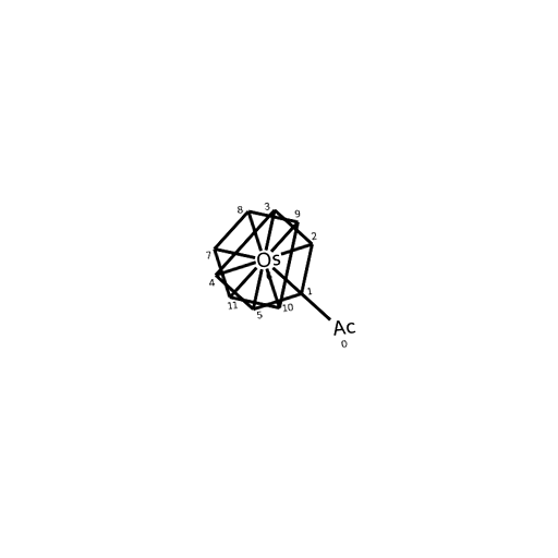 CC(=O)[C]12[CH]3[CH]4[CH]5[CH]1[Os]45321678[CH]2[CH]1[CH]6[CH]7[CH]28